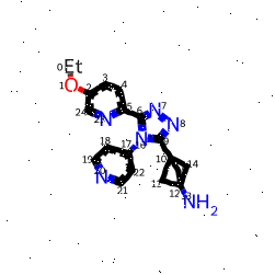 CCOc1ccc(-c2nnc(C34CC(N)(C3)C4)n2-c2ccncc2)nc1